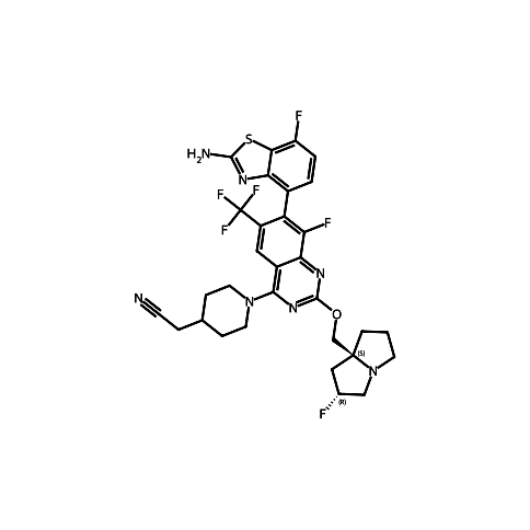 N#CCC1CCN(c2nc(OC[C@@]34CCCN3C[C@H](F)C4)nc3c(F)c(-c4ccc(F)c5sc(N)nc45)c(C(F)(F)F)cc23)CC1